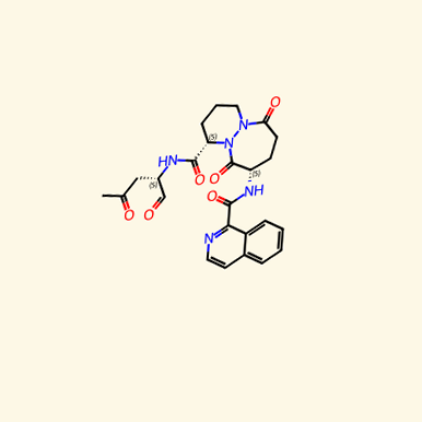 CC(=O)C[C@@H](C=O)NC(=O)[C@@H]1CCCN2C(=O)CC[C@H](NC(=O)c3nccc4ccccc34)C(=O)N12